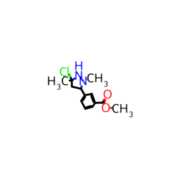 COC(=O)c1cccc(C2CC(C)(Cl)NN2C)c1